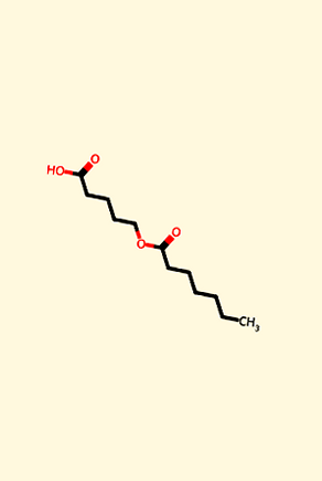 CCCCCCC(=O)OCCCCC(=O)O